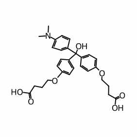 CN(C)c1ccc(C(O)(c2ccc(OCCCC(=O)O)cc2)c2ccc(OCCCC(=O)O)cc2)cc1